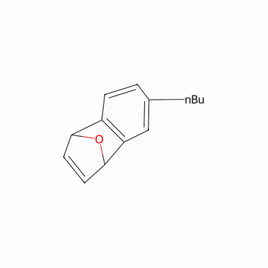 CCCCc1ccc2c(c1)C1C=CC2O1